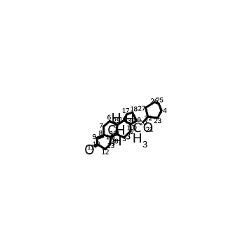 C[C@]12CC[C@H]3[C@@H](CCC4=CC(=O)CC[C@@]43C)[C@@H]1CC[C@@H]2C(=O)C1CCCCC1